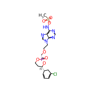 CS(=O)(=O)ONc1ncnc2c1ncn2CCOC[P@@]1(=O)OCC[C@@H](C2C=CC=C(Cl)C2)O1